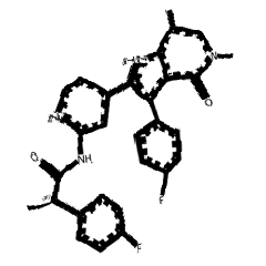 Cc1cn(C)c(=O)c2c(-c3ccc(F)cc3)c(-c3ccnc(NC(=O)[C@H](C)c4ccc(F)cc4)c3)[nH]c12